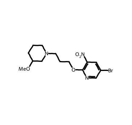 COC1CCCN(CCCOc2ncc(Br)cc2[N+](=O)[O-])C1